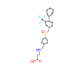 O=C(O)CCNCc1ccc([S+]([O-])Cc2ccc(-c3ccccc3)c(C(F)(F)F)c2)cc1